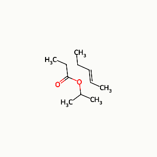 CC=CCC.CCC(=O)OC(C)C